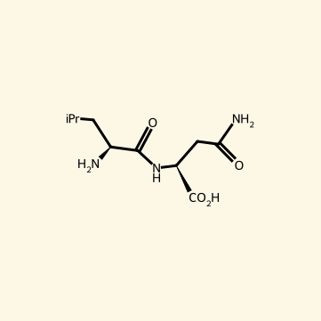 CC(C)C[C@H](N)C(=O)N[C@@H](CC(N)=O)C(=O)O